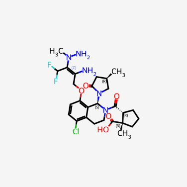 C[C@@H]1CC(=O)N([C@@H]2c3c(OC/C(N)=C(\C(F)F)N(C)N)ccc(Cl)c3CCN2C(=O)[C@@H]2CCC[C@]2(C)C(=O)O)C1